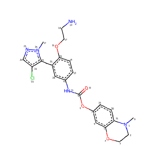 CN1CCOc2cc(OC(=O)Nc3ccc(OCCN)c(-c4c(Cl)cnn4C)c3)ccc21